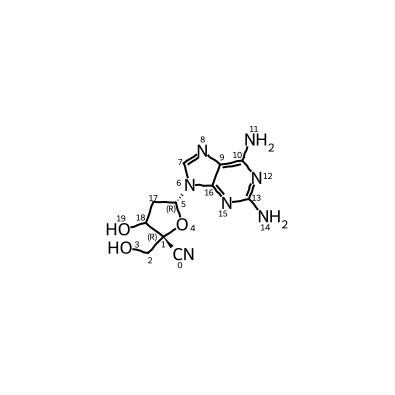 N#C[C@]1(CO)O[C@@H](n2cnc3c(N)nc(N)nc32)CC1O